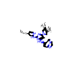 COc1ccnc(Nc2nc(Nc3ccn4ccnc4c3)cc(N3C[C@H](C)[C@@H](C)C3)n2)c1